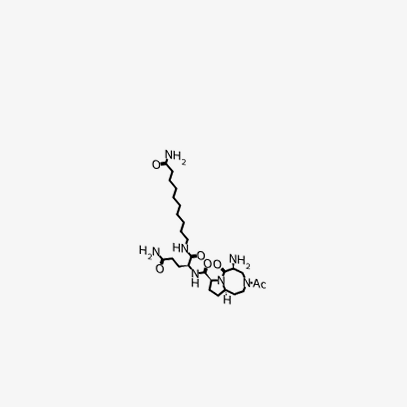 CC(=O)N1CC[C@H]2CC[C@@H](C(=O)N[C@@H](CCC(N)=O)C(=O)NCCCCCCCCCC(N)=O)N2C(=O)[C@@H](N)C1